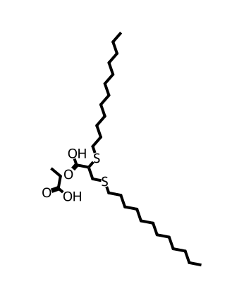 CCC(=O)O.CCCCCCCCCCCCSCC(SCCCCCCCCCCCC)C(=O)O